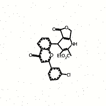 CCOC(=O)C1=C(C)NC2=C(C(=O)OC2)C1c1cccc2c(=O)cc(-c3cccc(Cl)c3)oc12